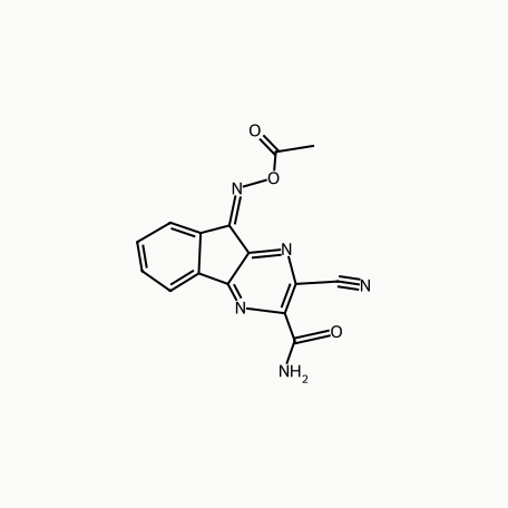 CC(=O)O/N=C1/c2ccccc2-c2nc(C(N)=O)c(C#N)nc21